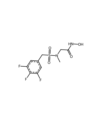 CN(CC(=O)NO)S(=O)(=O)Cc1cc(F)c(F)c(F)c1